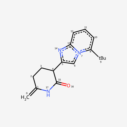 C=C1CCC(c2cn3c(C(C)(C)C)cccc3n2)C(=O)N1